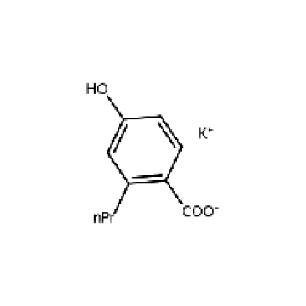 CCCc1cc(O)ccc1C(=O)[O-].[K+]